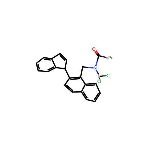 CCCC(=O)[N](Cc1c(C2C=Cc3ccccc32)ccc2ccccc12)[Ti]([Cl])[Cl]